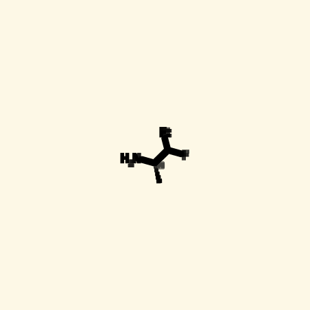 CCC(F)[C@H](C)N